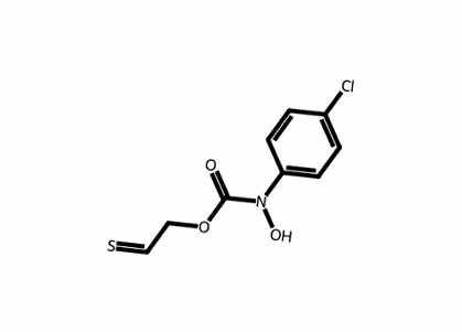 O=C(OCC=S)N(O)c1ccc(Cl)cc1